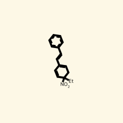 CCC1([N+](=O)[O-])C=CC(C=Cc2ccccc2)=CC1